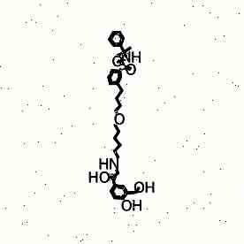 CC(C)(NS(=O)(=O)c1cccc(CCCCOCCCCCCNC[C@H](O)c2ccc(O)c(CO)c2)c1)c1ccccc1